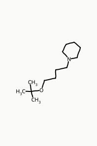 CC(C)(C)OCCCCN1CCCCC1